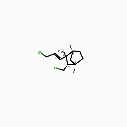 C[C@@]1(/C=C/CCl)[C@H]2CC[C@H](C2)[C@H]1CCl